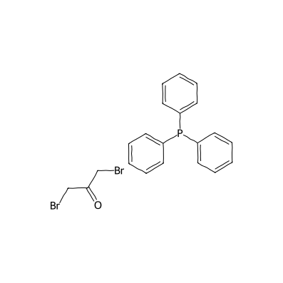 O=C(CBr)CBr.c1ccc(P(c2ccccc2)c2ccccc2)cc1